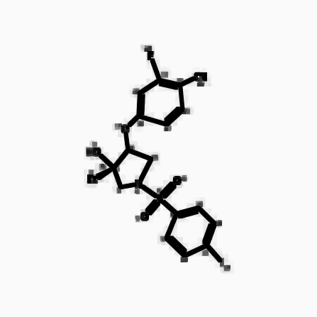 CC[C@]1(O)CN(S(=O)(=O)c2ccc(I)cc2)CC1Oc1ccc(C#N)c(F)c1